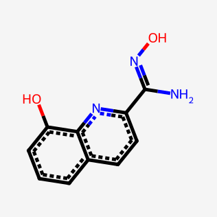 NC(=NO)c1ccc2cccc(O)c2n1